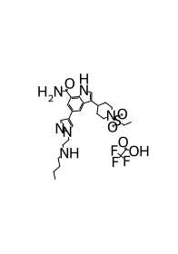 CCCCNCCn1cc(-c2cc(C(N)=O)c3[nH]cc(C4CCN(S(=O)(=O)CC)CC4)c3c2)cn1.O=C(O)C(F)(F)F